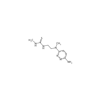 CNC(=S)NCCN(C)c1ccc(N)nn1